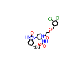 CC(C)(C)OC(=O)NC1CC(n2c(=O)[nH]c3ccccc32)CCN1C(=O)CCOCc1ccc(Cl)c(Cl)c1